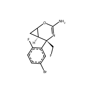 NC1=N[C@](CF)(c2cc(Br)ccc2F)[C@H]2CC2O1